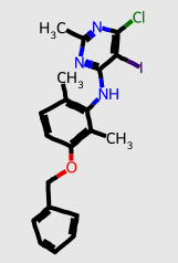 Cc1nc(Cl)c(I)c(Nc2c(C)ccc(OCc3ccccc3)c2C)n1